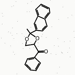 CC1(c2ccc3ccccc3c2)OCC(C(=O)c2ccccc2)O1